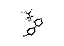 CC(C)S(=O)(=O)N[C@@H]1COCC[C@H]1c1ccc(Br)cc1